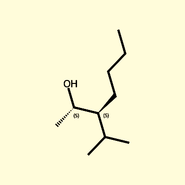 CCCC[C@@H](C(C)C)[C@H](C)O